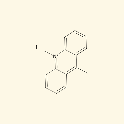 Cc1c2ccccc2[n+](C)c2ccccc12.[I-]